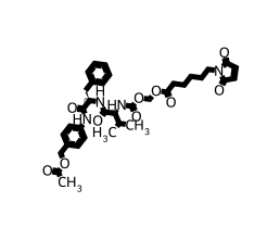 CC(=O)OCc1ccc(NC(=O)[C@H](Cc2ccccc2)NC(=O)[C@@H](NC(=O)OCOC(=O)CCCCCN2C(=O)C=CC2=O)C(C)C)cc1